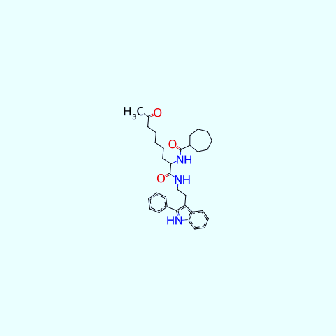 CC(=O)CCCCCC(NC(=O)C1CCCCCC1)C(=O)NCCc1c(-c2ccccc2)[nH]c2ccccc12